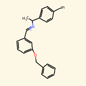 CC(C)c1ccc(C(C)/N=C/c2cccc(OCc3ccccc3)c2)cc1